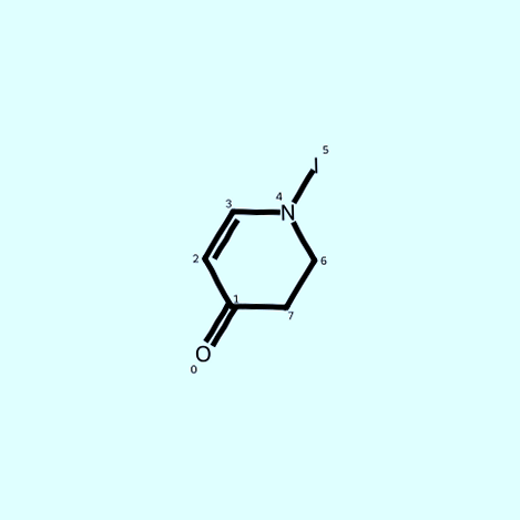 O=C1C=CN(I)CC1